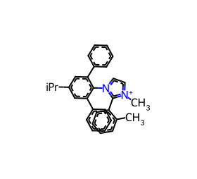 Cc1ccccc1-c1n(-c2c(-c3ccccc3)cc(C(C)C)cc2-c2ccccc2)cc[n+]1C